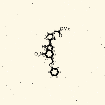 COC(=O)C[C@@H]1CSC(c2cc3cc(COc4ccccc4)cc([N+](=O)[O-])c3[nH]2)=N1